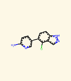 Nc1ccc(-c2ccc3[nH]ncc3c2Cl)cn1